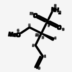 C=CC[C@](C)(COC)S(N)(=O)=O